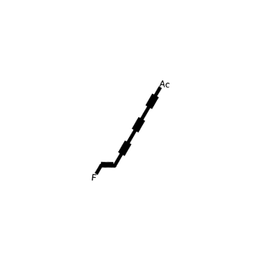 CC(=O)C#CC#CC#C/C=C/F